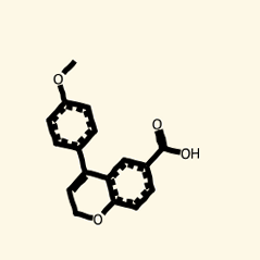 COc1ccc(C2=CCOc3ccc(C(=O)O)cc32)cc1